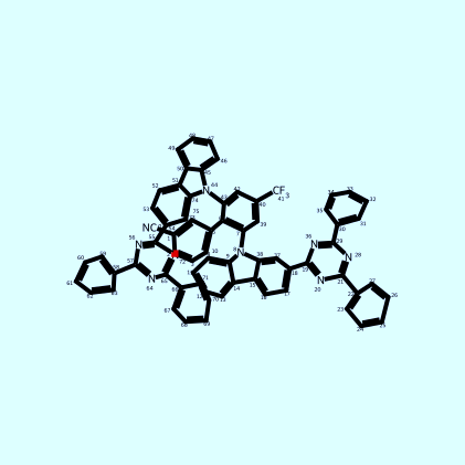 N#Cc1cccc(-c2c(-n3c4ccccc4c4ccc(-c5nc(-c6ccccc6)nc(-c6ccccc6)n5)cc43)cc(C(F)(F)F)cc2-n2c3ccccc3c3ccc(-c4nc(-c5ccccc5)nc(-c5ccccc5)n4)cc32)c1